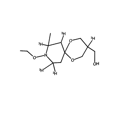 [3H]C1C2(CC([3H])([3H])N(OCC)C1([3H])C)OCC([3H])(CO)CO2